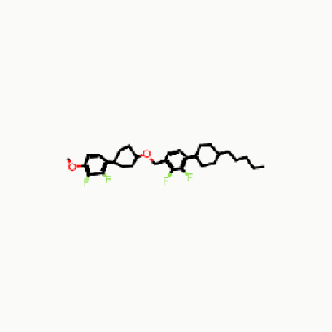 CCCCCC1CCC(c2ccc(COC3CCC(c4ccc(OC)c(F)c4F)CC3)c(F)c2F)CC1